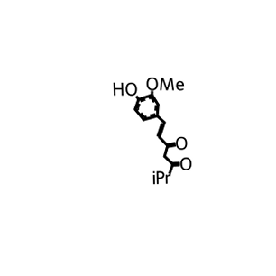 COc1cc(C=CC(=O)CC(=O)C(C)C)ccc1O